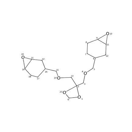 C1OC(COCC2CCC3OC3C2)(COCC2CCC3OC3C2)O1